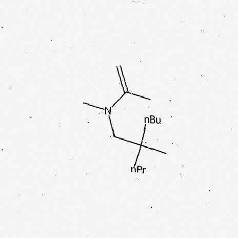 C=C(C)N(C)CC(C)(CCC)CCCC